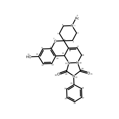 CC(=O)N1CCC2(CC1)Oc1cc(O)ccc1C1C2=CCn2c(=O)n(-c3ccccc3)c(=O)n21